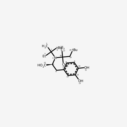 CCCCC(C)(CC)N([C@@H](Cc1ccc(O)c(O)c1)C(=O)O)C(C)(C)CC(C)(C)C